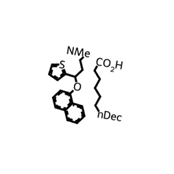 CCCCCCCCCCCCCCCC(=O)O.CNCCC(Oc1cccc2ccccc12)c1cccs1